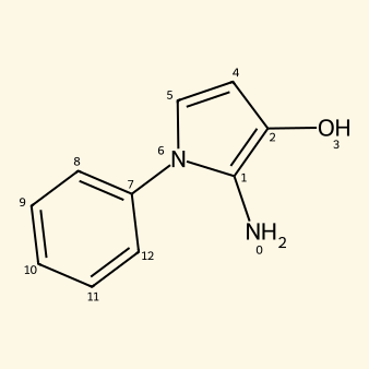 Nc1c(O)ccn1-c1ccccc1